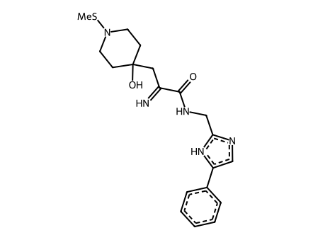 CSN1CCC(O)(CC(=N)C(=O)NCc2ncc(-c3ccccc3)[nH]2)CC1